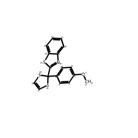 COc1ccc(C2(c3nc4ccccc4s3)SC=CS2)cc1